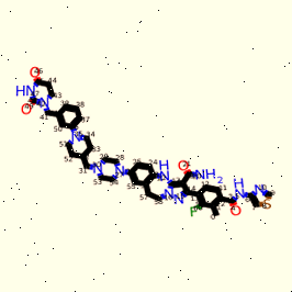 Cc1c(C(=O)Nc2cscn2)ccc(-c2nn3c(c2C(N)=O)Nc2ccc(N4CCN(CC5CCN(c6cccc(CN7CCC(=O)NC7=O)c6)CC5)CC4)cc2CC3)c1F